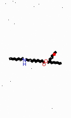 CCCCCCCCNCCCCCCCCCC(=O)OCC(CCCCCC)CCCCCC